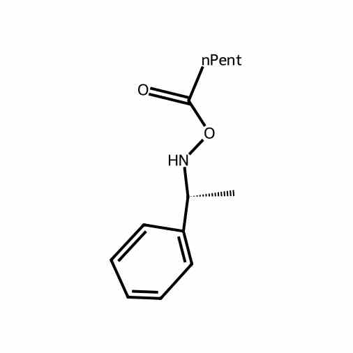 CCCCCC(=O)ON[C@H](C)c1ccccc1